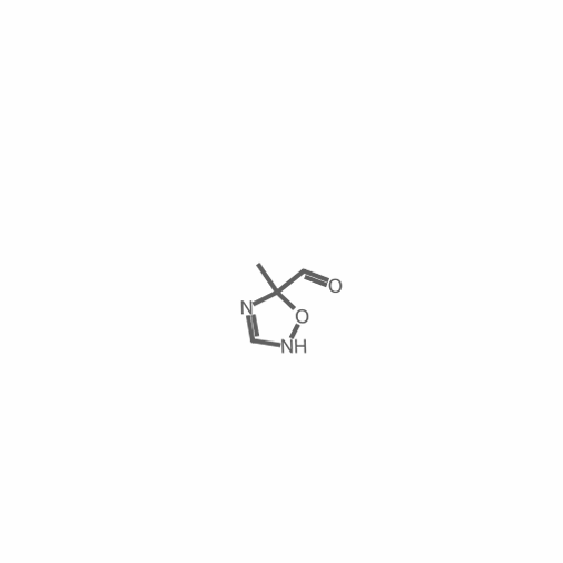 CC1(C=O)N=CNO1